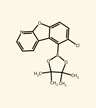 CC1(C)OB(c2c(Cl)ccc3oc4ncccc4c23)OC1(C)C